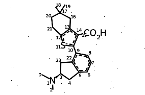 CN(C)[C@@H]1Cc2cccc(-c3sc4c(c3C(=O)O)CC(C)(C)CC4)c2C1